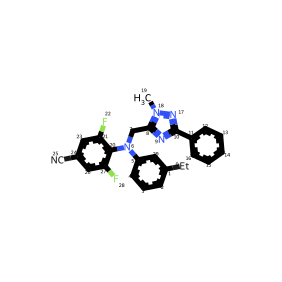 CCc1cccc(N(Cc2nc(-c3ccccc3)nn2C)c2c(F)cc(C#N)cc2F)c1